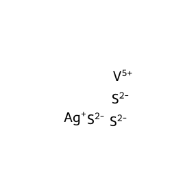 [Ag+].[S-2].[S-2].[S-2].[V+5]